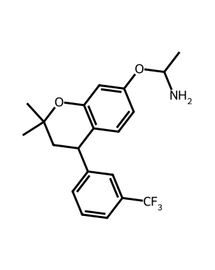 CC(N)Oc1ccc2c(c1)OC(C)(C)CC2c1cccc(C(F)(F)F)c1